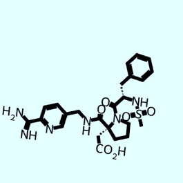 CS(=O)(=O)N[C@@H](Cc1ccccc1)C(=O)N1CCC[C@@]1(CC(=O)O)C(=O)NCc1ccc(C(=N)N)nc1